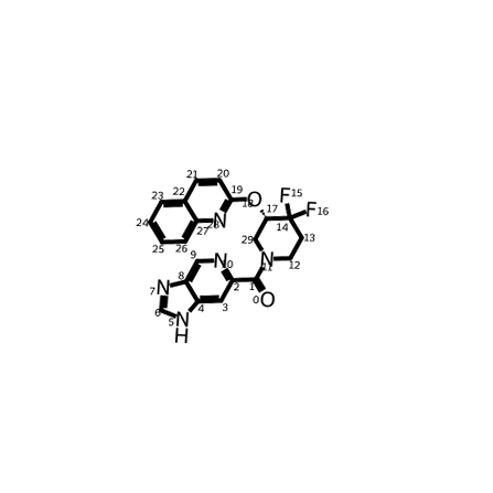 O=C(c1cc2[nH]cnc2cn1)N1CCC(F)(F)[C@@H](Oc2ccc3ccccc3n2)C1